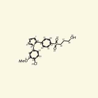 COc1cc(-n2nccc2-c2ccc(S(=O)(=O)CCCO)cc2)ccc1Cl